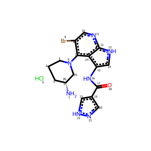 Cl.N[C@@H]1CCCN(c2c(Br)cnc3[nH]cc(NC(=O)c4cn[nH]c4)c23)C1